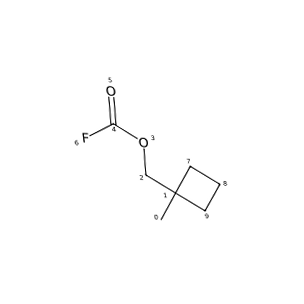 CC1(COC(=O)F)CCC1